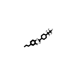 CCCc1ccc(OC(=O)C2CCC(C(F)(F)C(F)(F)F)CC2)c(F)c1